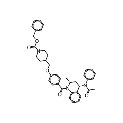 CC(=O)N(c1ccccc1)[C@@H]1C[C@H](C)N(C(=O)c2ccc(OCC3CCN(C(=O)OCc4ccccc4)CC3)cc2)c2ccccc21